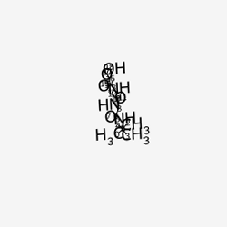 CC(C)(C)CNC(=O)CNC(=O)CNC(=O)COO